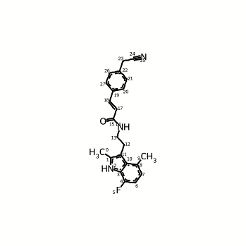 Cc1[nH]c2c(F)ccc(C)c2c1CCNC(=O)C=Cc1ccc(CC#N)cc1